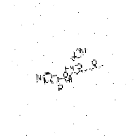 CCC(=O)CCCCC[C@H](NC(=O)[C@H]1CC12CCNCC2)c1ncc(-c2cc3ccc(N(C)C)nc3cc2OC)o1